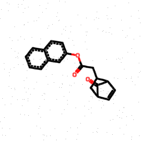 O=C(CC1CC2C=CC1C2=O)Oc1ccc2ccccc2c1